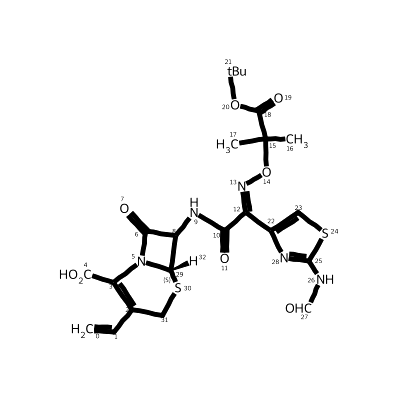 C=CC1=C(C(=O)O)N2C(=O)C(NC(=O)C(=NOC(C)(C)C(=O)OC(C)(C)C)c3csc(NC=O)n3)[C@@H]2SC1